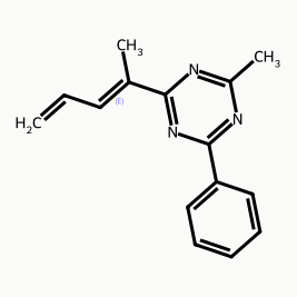 C=C/C=C(\C)c1nc(C)nc(-c2ccccc2)n1